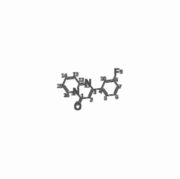 O=c1cc(-c2cccc(F)c2)nc2ccccn12